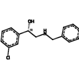 O[C@H](CNCc1ccccc1)c1cccc(Cl)c1